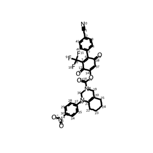 N#Cc1ccc(C2=C(C(F)(F)F)C(=O)C(OC(=O)N3CC4=C(CCCC4)N(c4ccc([N+](=O)[O-])cc4)C3)=CC2=O)cc1